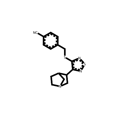 N#Cc1ccc(CSc2nsnc2C2CN3CCC2C3)cc1